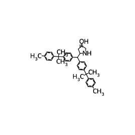 Cc1ccc(C(C)(C)c2ccc(C(c3ccc(C(C)(C)c4ccc(C)cc4)cc3)C3C[C@@H](O)CN3)cc2)cc1